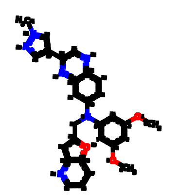 COc1cc(OC)cc(N(Cc2cc3ncccc3o2)c2ccc3ncc(-c4cnn(C)c4)nc3c2)c1